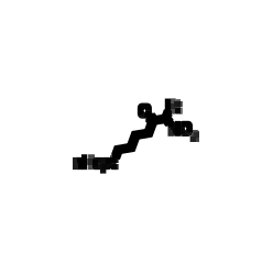 CCCCCCCCCCCC(=O)C(CC)[N+](=O)[O-]